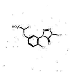 CCCn1nnn(-c2cc(OC(Cl)C(=O)O)ccc2Cl)c1=O